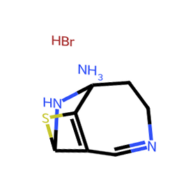 Br.C1=NCCC2NC3SC2=C13.N